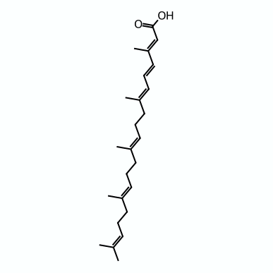 CC(C)=CCC/C(C)=C/CC/C(C)=C/CC/C(C)=C/C=C/C(C)=C/C(=O)O